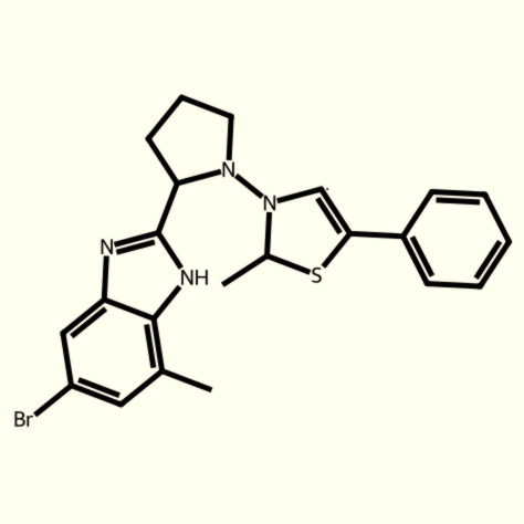 Cc1cc(Br)cc2nc(C3CCCN3N3[C]=C(c4ccccc4)SC3C)[nH]c12